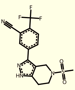 CS(=O)(=O)N1CCc2[nH]nc(-c3ccc(C(F)(F)F)c(C#N)c3)c2C1